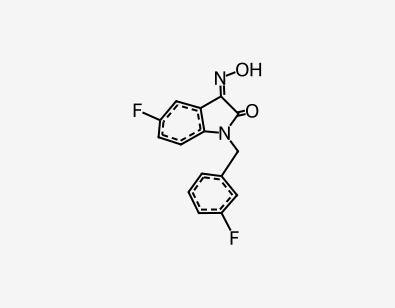 O=C1/C(=N\O)c2cc(F)ccc2N1Cc1cccc(F)c1